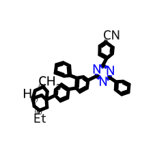 CC[C@@H]1C[C@@H]2C[C@H](C)CC(c3ccc(-c4ccc(-c5nc(-c6ccccc6)nc(-c6ccc(C#N)cc6)n5)cc4-c4ccccc4)cc3)(C1)C2